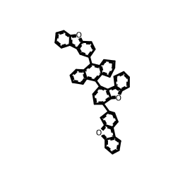 c1ccc2c(c1)oc1cc(-c3ccc(-c4c5ccccc5c(-c5ccc6oc7ccccc7c6c5)c5ccccc45)c4c3oc3ccccc34)ccc12